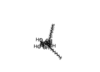 CCCCCCCCCCCCCCCC(C(=O)O)C(CCCCCCCCCCCCCCC)(C(=O)O)S(=O)(=O)O.OCCN(CCO)CCO